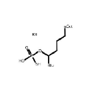 CCCCCCCCCCCC(OP(=O)(O)O)C(C)(C)C.[KH]